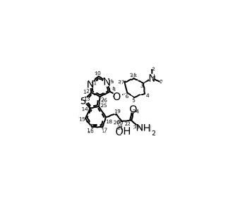 CN(C)[C@H]1CC[C@H](Oc2ncnc3sc4cccc(C[C@@H](O)C(N)=O)c4c23)CC1